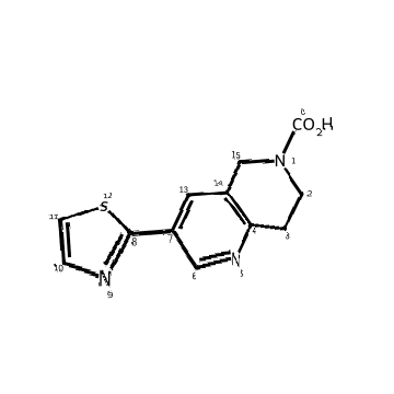 O=C(O)N1CCc2ncc(-c3nccs3)cc2C1